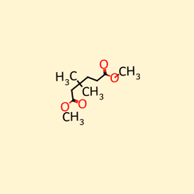 COC(=O)CCC(C)(C)CC(=O)OC